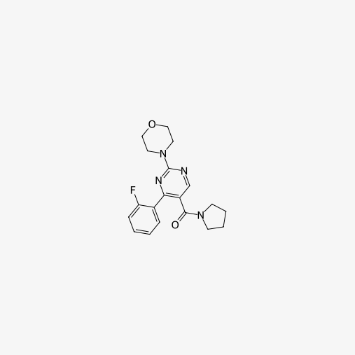 O=C(c1cnc(N2CCOCC2)nc1-c1ccccc1F)N1CCCC1